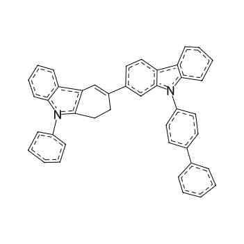 C1=C(c2ccc3c4ccccc4n(-c4ccc(-c5ccccc5)cc4)c3c2)CCc2c1c1ccccc1n2-c1ccccc1